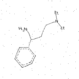 CCN(CC)CCC(N)c1ccccc1